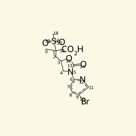 CC(CC1CN(c2ccc(Br)cn2)C(=O)O1)(C(=O)O)S(C)(=O)=O